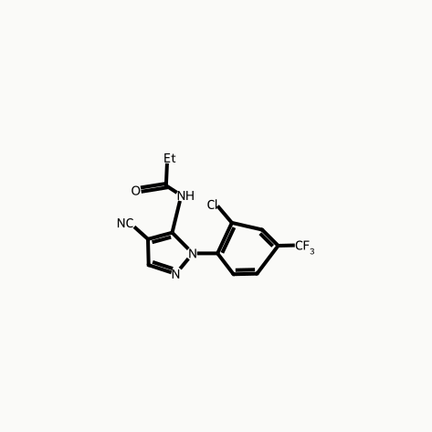 CCC(=O)Nc1c(C#N)cnn1-c1ccc(C(F)(F)F)cc1Cl